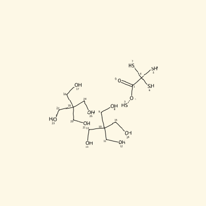 O=C(OS)C(S)(S)S.OCC(CO)(CO)CO.OCC(CO)(CO)CO